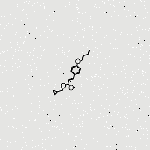 CCCCOc1ccc(/C=C/C(=O)OCC2CC2)cc1